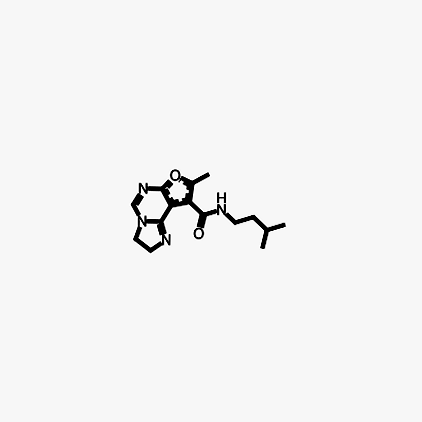 Cc1oc2c(c1C(=O)NCCC(C)C)C1=NCCN1C=N2